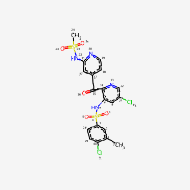 Cc1cc(S(=O)(=O)Nc2cc(Cl)cnc2C(=O)c2ccnc(NS(C)(=O)=O)c2)ccc1Cl